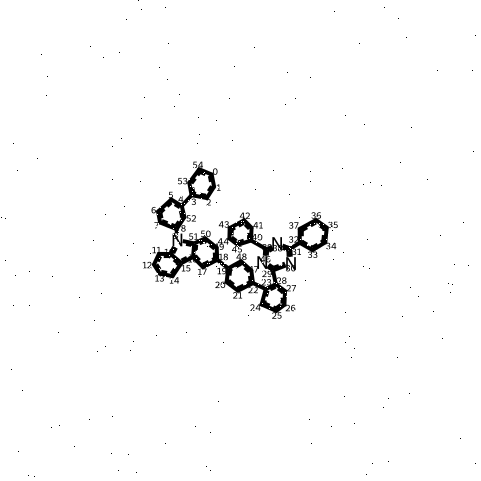 c1ccc(-c2cccc(-n3c4ccccc4c4cc(-c5ccc(-c6ccccc6-c6nc(-c7ccccc7)nc(-c7ccccc7)n6)cc5)ccc43)c2)cc1